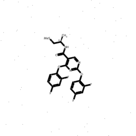 CSC[C@@H](C)NC(=O)c1cnc(Oc2ccc(F)cc2F)nc1Oc1ccc(F)cc1F